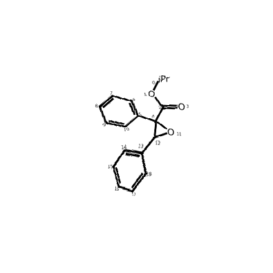 CC(C)OC(=O)C1(c2ccccc2)OC1c1ccccc1